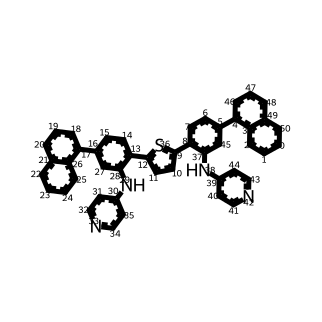 c1ccc2c(-c3ccc(-c4ccc(-c5ccc(-c6cccc7ccccc67)cc5Nc5ccncc5)s4)c(Nc4ccncc4)c3)cccc2c1